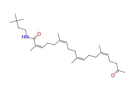 CC(=O)CCC=C(C)CCC=C(C)CCC=C(C)CCC=C(C)C(=O)NCCC(C)(C)C